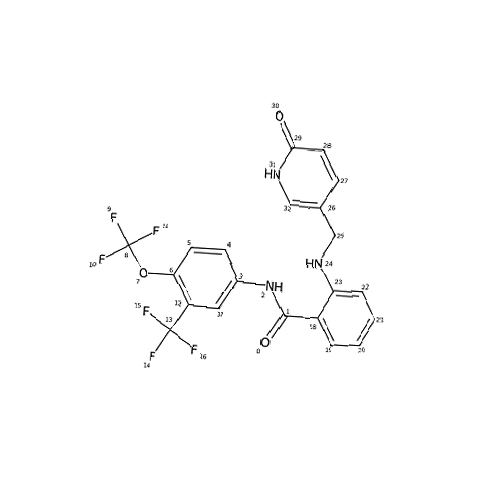 O=C(Nc1ccc(OC(F)(F)F)c(C(F)(F)F)c1)c1ccccc1NCc1ccc(=O)[nH]c1